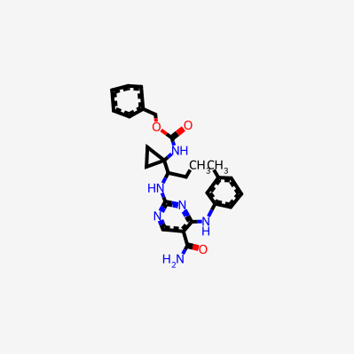 CCC(Nc1ncc(C(N)=O)c(Nc2cccc(C)c2)n1)C1(NC(=O)OCc2ccccc2)CC1